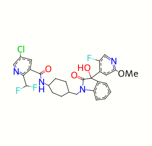 COc1cc(C2(O)C(=O)N(CC3CCC(NC(=O)c4cc(Cl)cnc4C(F)F)CC3)c3ccccc32)c(F)cn1